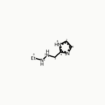 CCNNCc1ncc[nH]1